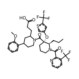 CCC[C@H]1N(C(=O)c2ncccc2C(F)(F)F)CCC[C@@]1(Oc1csc(C(F)(F)F)c1)C(=O)N1CCC(c2ccccc2OC)CC1CCC(=O)O